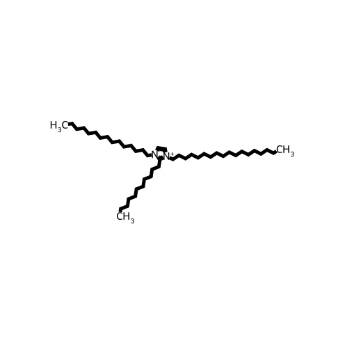 CCCCCCCCCCCCCCCCCC[n+]1ccn(CCCCCCCCCCCCCCC)c1CCCCCCCCCCC